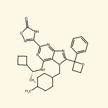 CC1CCC(Cn2c(C3(c4ccccc4)CCO3)nc3nc(-c4noc(=O)[nH]4)nc(N[C@H](C)C4CCC4)c32)CC1